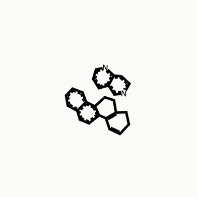 C1=CC2=C(CC1)CCc1c2ccc2ccccc12.c1cnc2ccncc2c1